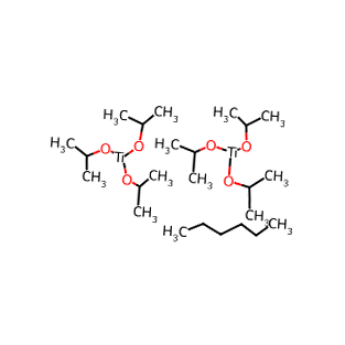 CC(C)[O][Ti]([O]C(C)C)[O]C(C)C.CC(C)[O][Ti]([O]C(C)C)[O]C(C)C.CCCCCC